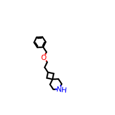 c1ccc(COCCC2CC3(CCNCC3)C2)cc1